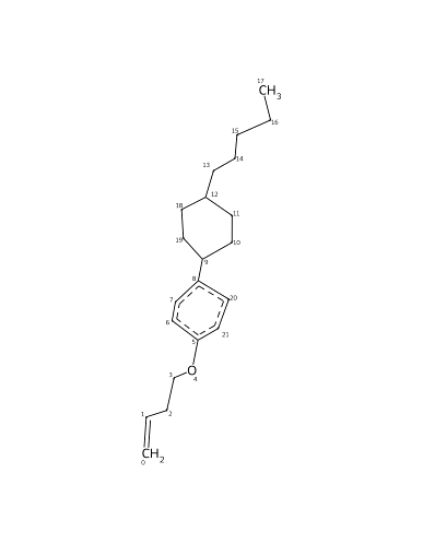 C=CCCOc1ccc(C2CCC(CCCCC)CC2)cc1